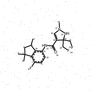 CC1CC(C)(C)c2c(F)ccc(NC(=O)C3=CN(C)NC3(CF)CF)c21